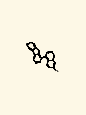 Oc1ccc2c(-c3cccc4c3Cc3ccccc3-4)cccc2c1